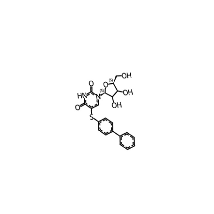 O=c1[nH]c(=O)n([C@H]2O[C@@H](CO)C(O)C2O)cc1Sc1ccc(-c2ccccc2)cc1